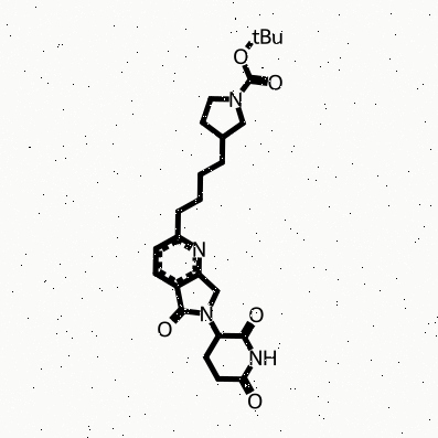 CC(C)(C)OC(=O)N1CCC(CCCCc2ccc3c(n2)CN(C2CCC(=O)NC2=O)C3=O)C1